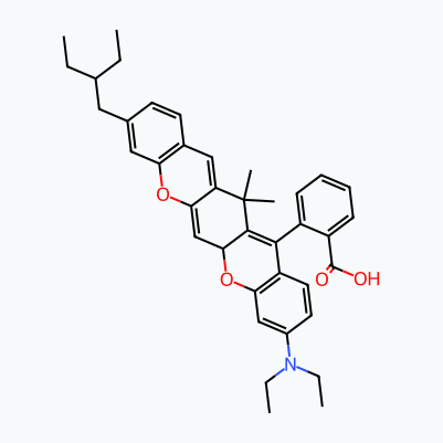 CCC(CC)Cc1ccc2c(c1)OC1=CC3Oc4cc(N(CC)CC)ccc4C(c4ccccc4C(=O)O)=C3C(C)(C)C1=C2